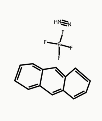 F[B-](F)(F)F.N#[NH+].c1ccc2cc3ccccc3cc2c1